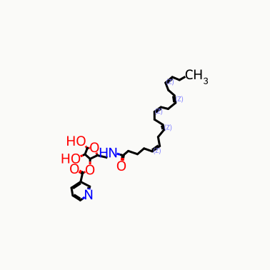 CC/C=C\C/C=C\C/C=C\C/C=C\C/C=C\CCCC(=O)NCC1OC(O)C(O)C1OC(=O)c1cccnc1